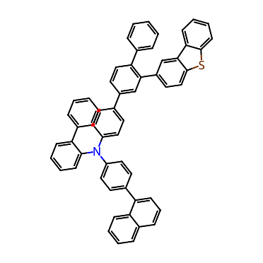 c1ccc(-c2ccc(-c3ccc(N(c4ccc(-c5cccc6ccccc56)cc4)c4ccccc4-c4ccccc4)cc3)cc2-c2ccc3sc4ccccc4c3c2)cc1